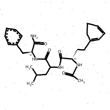 CC(=O)N[C@@H](CCC1=CC=CCC1)C(=O)NC(CC(C)C)C(=O)N[C@@H](Cc1ccccc1)C(N)=O